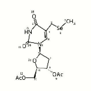 C[Se]Cc1cn([C@H]2C[C@H](OC(C)=O)[C@@H](COC(C)=O)O2)c(=O)[nH]c1=O